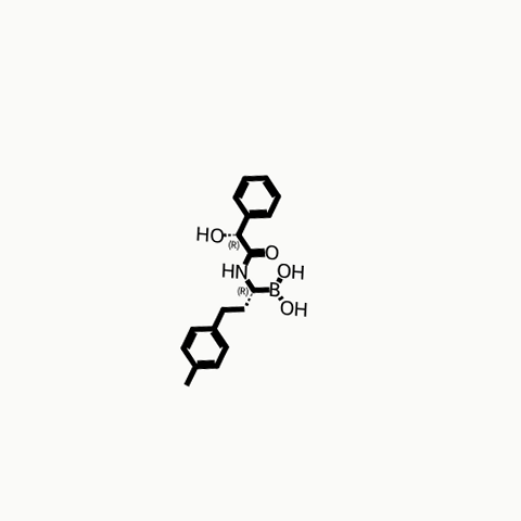 Cc1ccc(CC[C@H](NC(=O)[C@H](O)c2ccccc2)B(O)O)cc1